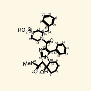 CNC(=O)CC1(O)CCCC[C@@H]1n1cnc(C(=O)N2CCN(C(=O)O)C[C@H]2Cc2ccccc2)c1-c1ccccc1